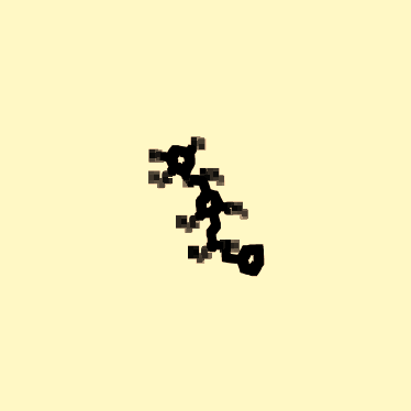 C=C(CCc1c(C)cc(/C(N)=N/c2cc(CC)cc(CC)c2C)cc1C)NCc1ccccc1